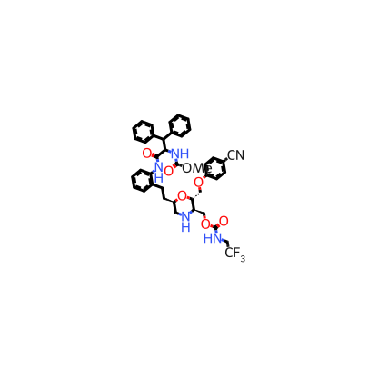 COC(=O)NC(C(=O)Nc1ccccc1CC[C@@H]1CN[C@H](COC(=O)NCC(F)(F)F)[C@@H](COc2ccc(C#N)cc2)O1)C(c1ccccc1)c1ccccc1